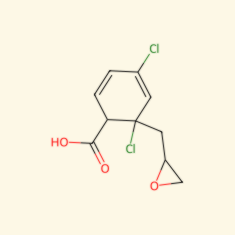 O=C(O)C1C=CC(Cl)=CC1(Cl)CC1CO1